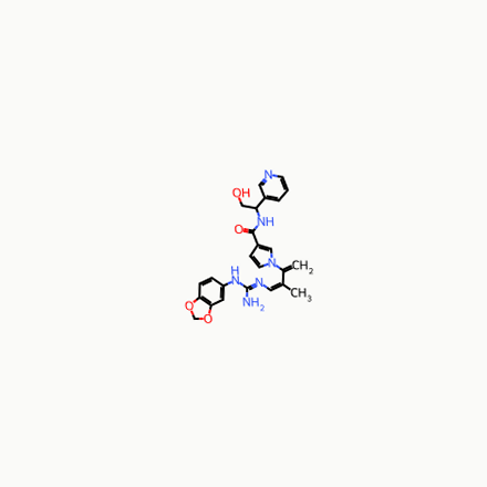 C=C(/C(C)=C\N=C(/N)Nc1ccc2c(c1)OCO2)n1ccc(C(=O)NC(CO)c2cccnc2)c1